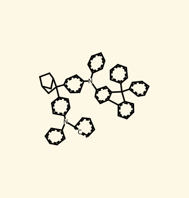 c1ccc(N(c2ccccc2)c2ccc(C3(c4ccc(N(c5ccccc5)c5ccc6c(c5)C(c5ccccc5)(c5ccccc5)c5ccccc5-6)cc4)CC4CCC3C4)cc2)cc1